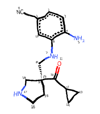 N#Cc1ccc(N)c(NC[C@]2(C(=O)C3CC3)CCNC2)c1